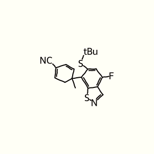 CC(C)(C)Sc1cc(F)c2cnsc2c1C1(C)C=CC(C#N)=CC1